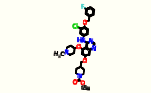 CN1CCC(Oc2cc(OCC3CCN(C(=O)OC(C)(C)C)CC3)cc3ncnc(Nc4ccc(OCc5cccc(F)c5)c(Cl)c4)c23)CC1